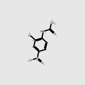 CC(=O)Nc1ccc([N+](=O)[O-])cc1Cl